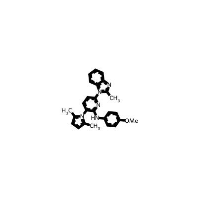 COc1ccc(Nc2nc(-n3c(C)nc4ccccc43)ccc2-n2c(C)ccc2C)cc1